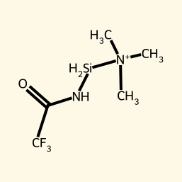 C[N+](C)(C)[SiH2]NC(=O)C(F)(F)F